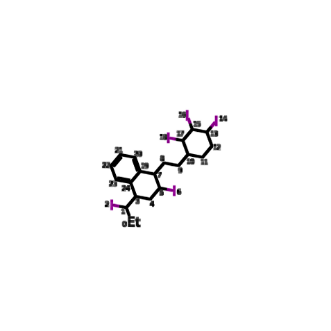 CCC(I)C1CC(I)C(CCC2CCC(I)C(I)C2I)c2ccccc21